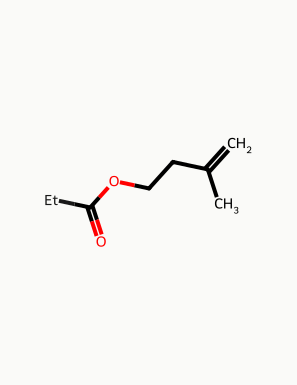 C=C(C)CCOC(=O)CC